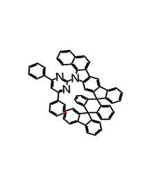 c1ccc(-c2cc(-c3ccccc3)nc(-n3c4cc5c(cc4c4ccc6ccccc6c43)-c3ccccc3C53c4ccccc4C4(c5ccccc5-c5ccccc54)c4ccccc43)n2)cc1